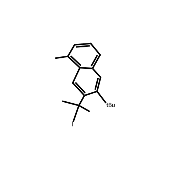 Cc1cccc2cc(C(C)(C)C)c(C(C)(C)I)cc12